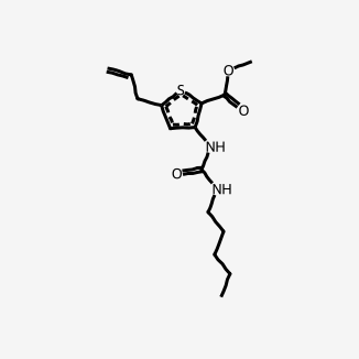 C=CCc1cc(NC(=O)NCCCCC)c(C(=O)OC)s1